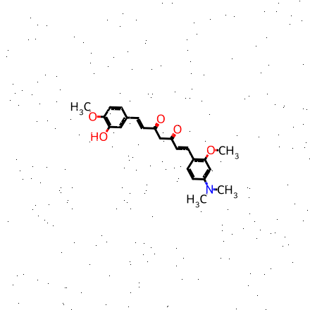 COc1ccc(C=CC(=O)CC(=O)C=Cc2ccc(N(C)C)cc2OC)cc1O